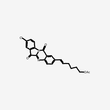 CC(=O)OCCCC/C=C/c1ccc2nc3n(c(=O)c2c1)-c1ccc(Cl)cc1C3=O